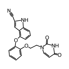 N#Cc1cc2c(Oc3ccccc3OCCn3ccc(=O)[nH]c3=O)cccc2[nH]1